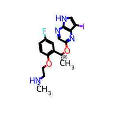 CNCCOc1ccc(F)cc1[C@@H](C)Oc1cnc2[nH]cc(I)c2n1